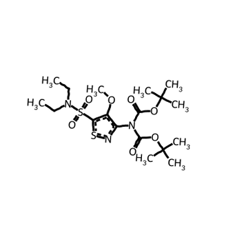 CCN(CC)S(=O)(=O)c1snc(N(C(=O)OC(C)(C)C)C(=O)OC(C)(C)C)c1OC